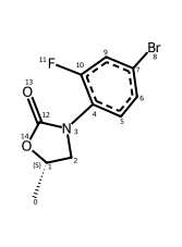 C[C@H]1CN(c2ccc(Br)cc2F)C(=O)O1